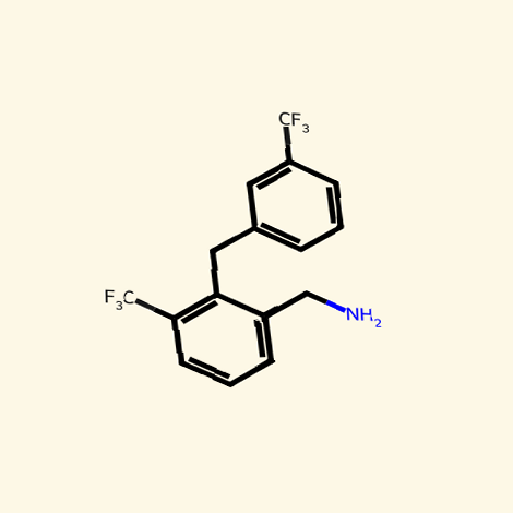 NCc1cccc(C(F)(F)F)c1Cc1cccc(C(F)(F)F)c1